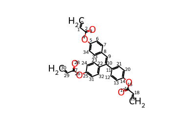 C=CC(=O)Oc1ccc(C=C(c2ccc(OC(=O)C=C)cc2)c2ccc(OC(=O)C=C)cc2)cc1